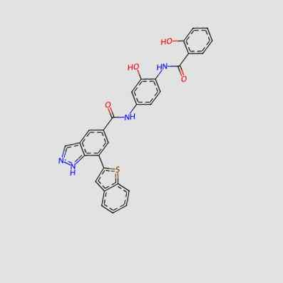 O=C(Nc1ccc(NC(=O)c2ccccc2O)c(O)c1)c1cc(-c2cc3ccccc3s2)c2[nH]ncc2c1